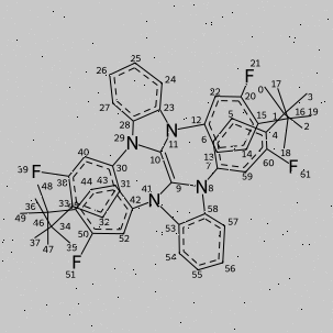 CC(C)(C)c1ccc(N2C(=C3N(c4ccc(C(C)(C)C)c(F)c4)c4ccccc4N3c3ccc(C(C)(C)C)c(F)c3)N(c3ccc(C(C)(C)C)c(F)c3)c3ccccc32)cc1F